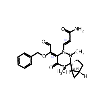 CN1C(=O)/C(=C(/C=O)OCc2ccccc2)N(/C=C/C(N)=O)N(C)[C@]12CC[C@@H]1C[C@@H]12